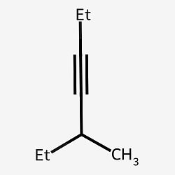 [CH2]CC#CC(C)CC